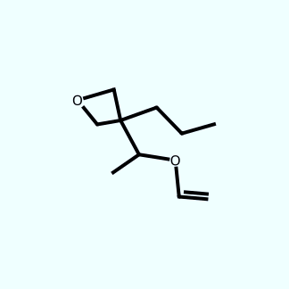 C=COC(C)C1(CCC)COC1